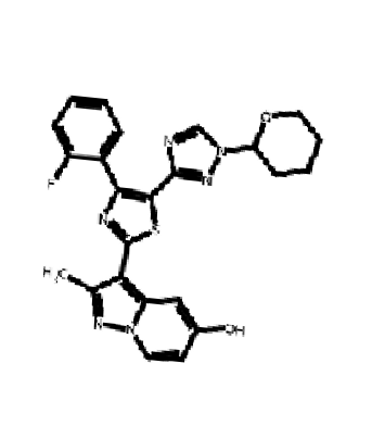 Cc1nn2ccc(O)cc2c1-c1nc(-c2ccccc2F)c(-c2ncn(C3CCCCO3)n2)s1